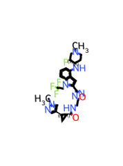 CN1CC[C@@H](Nc2cccc3c2cc(-c2noc(CNC(=O)[C@@H]4C[C@H]4c4cnn(C)c4)n2)n3CC(F)(F)F)[C@@H](F)C1